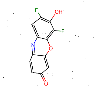 O=c1ccc2nc3cc(F)c(O)c(F)c3oc-2c1